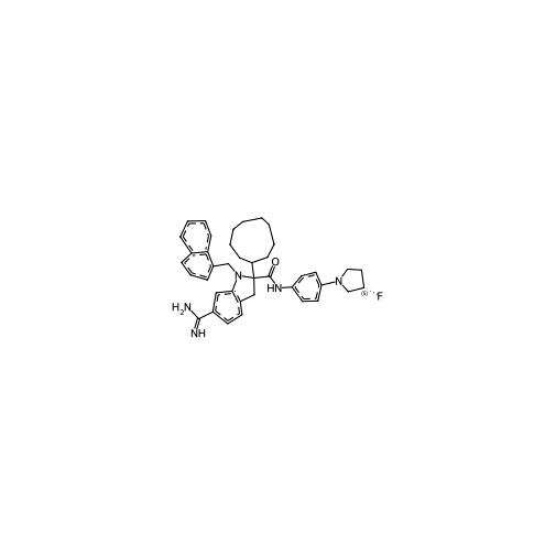 N=C(N)c1ccc2c(c1)N(Cc1cccc3ccccc13)C(C(=O)Nc1ccc(N3CC[C@H](F)C3)cc1)(C1CCCCCCCC1)C2